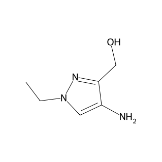 CCn1cc(N)c(CO)n1